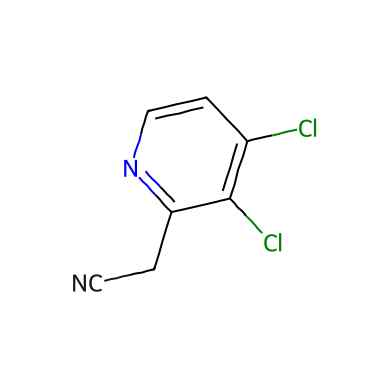 N#CCc1nccc(Cl)c1Cl